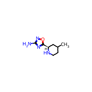 CC1CCN[C@@H](c2nc(N)no2)C1